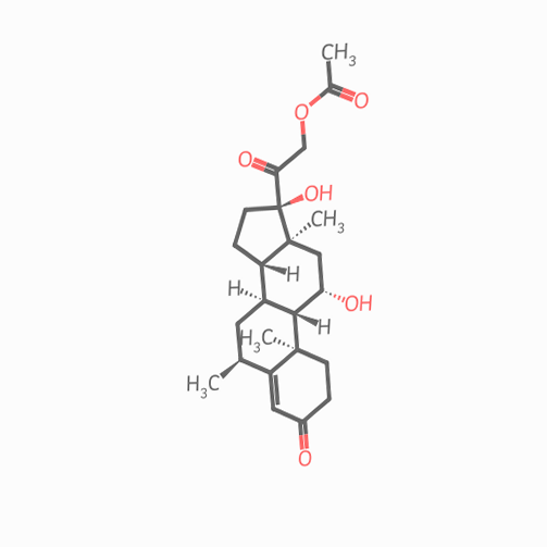 CC(=O)OCC(=O)[C@@]1(O)CC[C@H]2[C@@H]3C[C@H](C)C4=CC(=O)CC[C@]4(C)[C@H]3[C@@H](O)C[C@@]21C